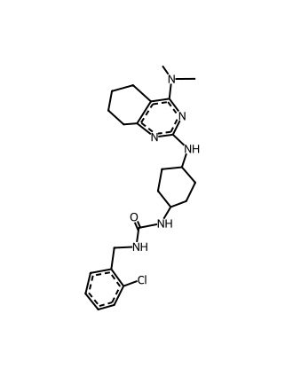 CN(C)c1nc(NC2CCC(NC(=O)NCc3ccccc3Cl)CC2)nc2c1CCCC2